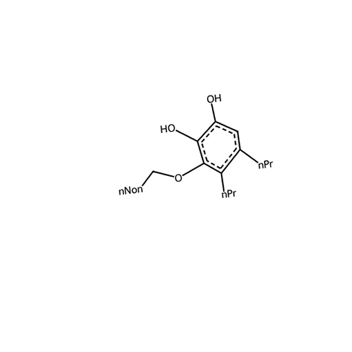 CCCCCCCCCCOc1c(O)c(O)cc(CCC)c1CCC